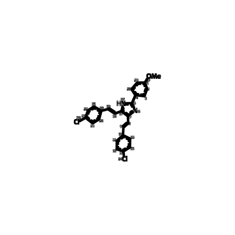 COc1ccc(-c2nc(C=Cc3ccc(Cl)cc3)c(C=Cc3ccc(Cl)cc3)[nH]2)cc1